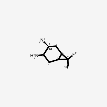 NC1CC2C(C[C@@H]1N)C2(F)F